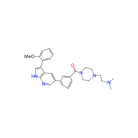 COc1ccccc1-c1c[nH]c2ncc(-c3cccc(C(=O)N4CCN(CCN(C)C)CC4)c3)cc12